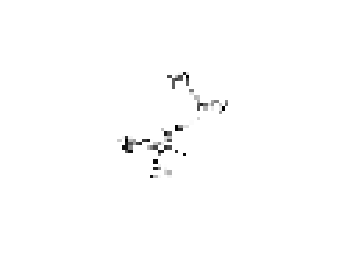 CCC(O)O.CS(=O)(=O)O